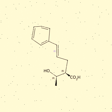 C[C@@H](O)[C@@H](C/C=C/c1ccccc1)C(=O)O